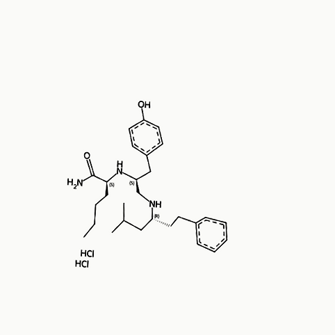 CCCC[C@H](N[C@H](CN[C@H](CCc1ccccc1)CC(C)C)Cc1ccc(O)cc1)C(N)=O.Cl.Cl